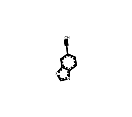 C#Cc1ccc2ncsc2c1